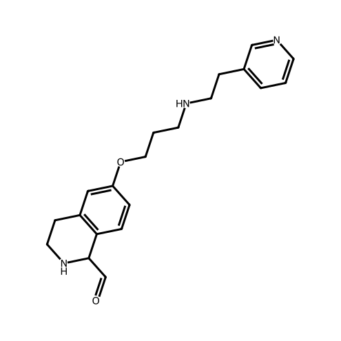 O=CC1NCCc2cc(OCCCNCCc3cccnc3)ccc21